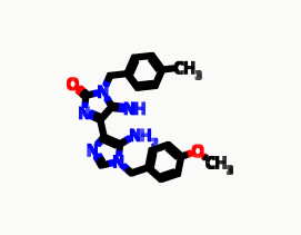 COc1ccc(Cn2cnc(C3=NC(=O)N(Cc4ccc(C)cc4)C3=N)c2N)cc1